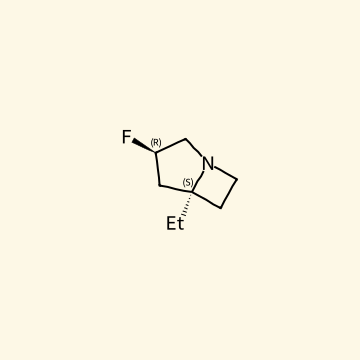 CC[C@@]12CCN1C[C@H](F)C2